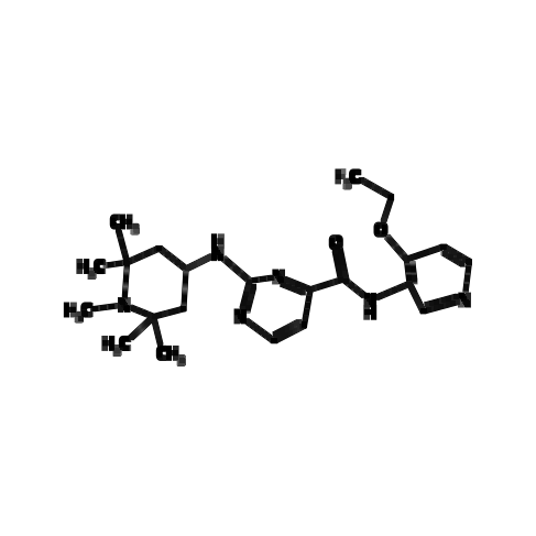 CN1C(C)(C)CC(Nc2nccc(C(=O)Nc3cnccc3OCC(F)(F)F)n2)CC1(C)C